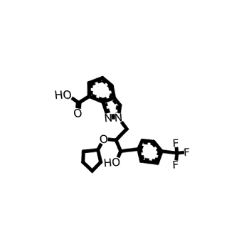 O=C(O)c1cccc2cn(CC(OC3CCCC3)C(O)c3ccc(C(F)(F)F)cc3)nc12